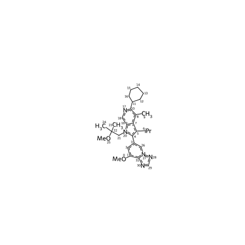 COc1cc(-c2c(C(C)C)c3c(C)c(C4CCCCC4)ncc3n2CC(C)(C)OC)cn2ncnc12